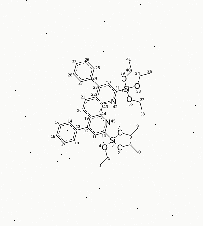 CCO[Si](OCC)(OCC)c1cc(-c2ccccc2)c2ccc3c(-c4ccccc4)cc([Si](OCC)(OCC)OCC)nc3c2n1